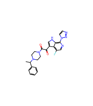 CC(c1ccccc1)N1CCN(C(=O)C(=O)c2c[nH]c3c(-n4ccnn4)ncc(F)c23)CC1